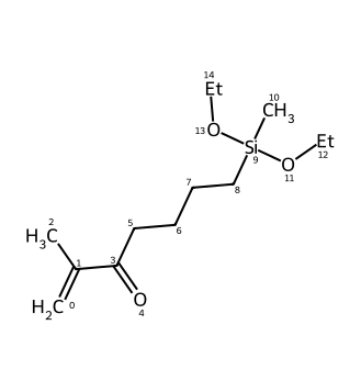 C=C(C)C(=O)CCCC[Si](C)(OCC)OCC